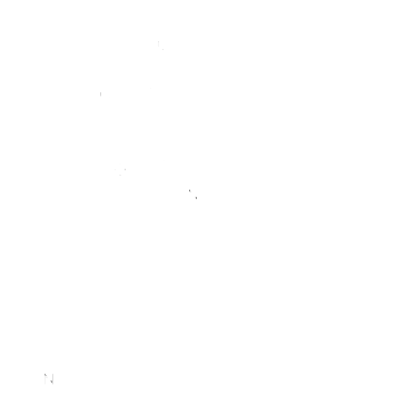 COC(=O)c1cc2c(nc1Oc1ccc(C#N)cc1)CCCCCC2